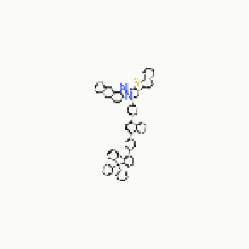 c1ccc(C2(c3ccccc3)c3ccccc3-c3c(-c4ccc(-c5ccc(-c6ccc(-c7cc8c9ccc%10ccccc%10c9sc8c8nc9c%10cc%11ccccc%11cc%10ccc9n78)cc6)c6ccccc56)cc4)cccc32)cc1